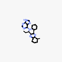 CCC(Nc1ncnc2[nH]cnc12)c1nc2cccc(C)c2nc1-c1ccccc1